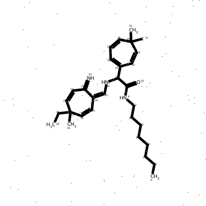 CCCCCCCCNC(=O)C(N/C=C1/C=CC(C)(CC)C=CC1=N)C1=CC=CC(C)(I)C=C1